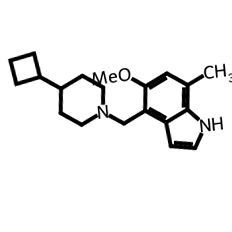 COc1cc(C)c2[nH]ccc2c1CN1CCC(C2CCC2)CC1